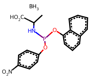 B.CC(NP(Oc1ccc([N+](=O)[O-])cc1)Oc1cccc2ccccc12)C(=O)O